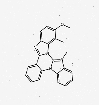 COc1ccc2nc3c4ccccc4n4c5ccccc5[n+](C)c4n3c2c1C